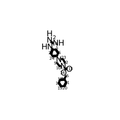 N=C(N)Nc1ccc(N2CCN(C(=O)OCc3ccccc3)CC2)cc1